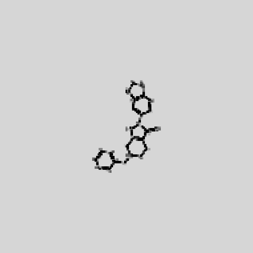 O=c1c2c([nH]n1-c1ccc3c(c1)OCO3)CN(Cc1cccnc1)CC2